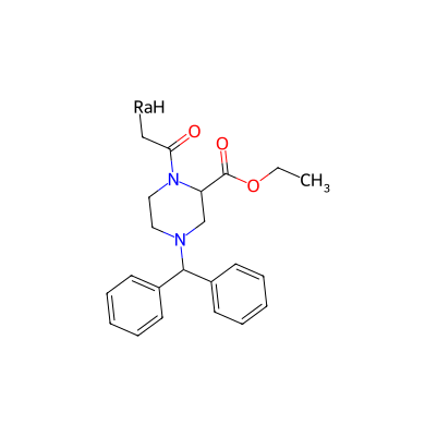 CCOC(=O)C1CN(C(c2ccccc2)c2ccccc2)CCN1C(=O)[CH2][RaH]